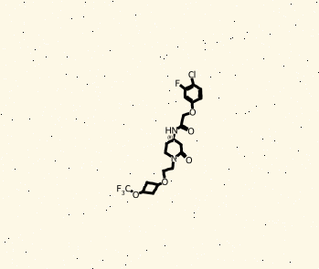 O=C(COc1ccc(Cl)c(F)c1)N[C@@H]1CCN(CCOC2CC(OC(F)(F)F)C2)C(=O)C1